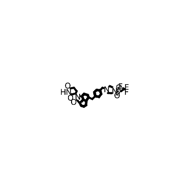 O=C1CC[C@H](N2C(=O)c3cccc4c(Cc5ccc(CN6CCN(S(=O)(=O)CC(F)(F)F)CC6)cc5)ccc2c34)C(=O)N1